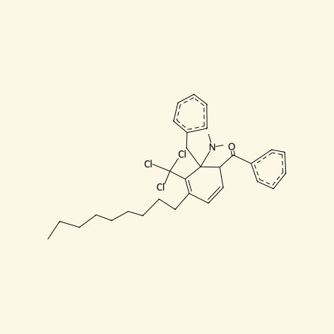 CCCCCCCCCC1=C(C(Cl)(Cl)Cl)C(Cc2ccccc2)(N(C)C)C(C(=O)c2ccccc2)C=C1